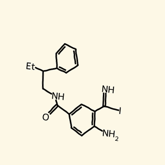 CCC(CNC(=O)c1ccc(N)c(C(=N)I)c1)c1ccccc1